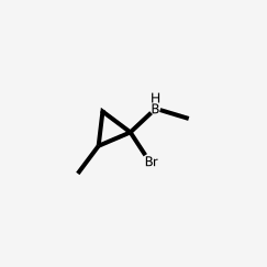 CBC1(Br)CC1C